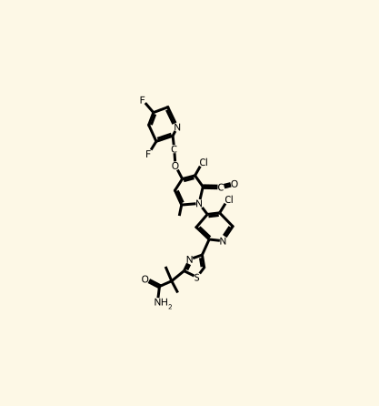 CC1=CC(OCc2ncc(F)cc2F)=C(Cl)C(=C=O)N1c1cc(-c2csc(C(C)(C)C(N)=O)n2)ncc1Cl